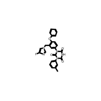 Cc1cccc(-n2c(=O)[nH]c(=O)n(-c3ccc(Oc4ccccc4)c(Cn4cnc(F)c4)c3)c2=O)c1